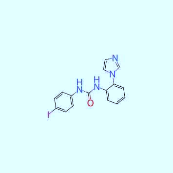 O=C(Nc1ccc(I)cc1)Nc1ccccc1-n1ccnc1